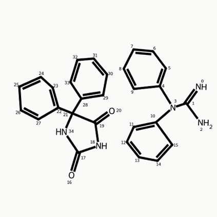 N=C(N)N(c1ccccc1)c1ccccc1.O=C1NC(=O)C(c2ccccc2)(c2ccccc2)N1